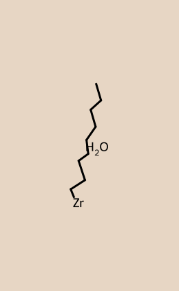 CCCCCCCC[CH2][Zr].O